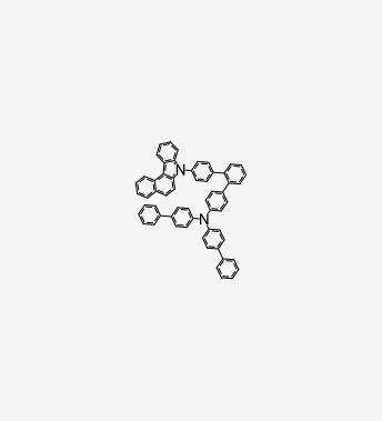 c1ccc(-c2ccc(N(c3ccc(-c4ccccc4)cc3)c3ccc(-c4ccccc4-c4ccc(-n5c6ccccc6c6c7ccccc7ccc65)cc4)cc3)cc2)cc1